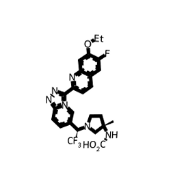 CCOc1cc2nc(-c3nnc4ccc([C@H](N5CC[C@](C)(NC(=O)O)C5)C(F)(F)F)cn34)ccc2cc1F